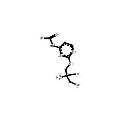 CC(C)C(=O)Nc1ccnc(OCC(C)(C)CO)n1